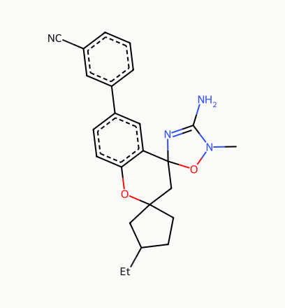 CCC1CCC2(C1)CC1(N=C(N)N(C)O1)c1cc(-c3cccc(C#N)c3)ccc1O2